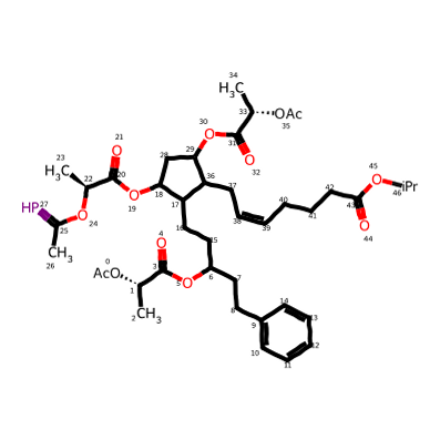 CC(=O)O[C@@H](C)C(=O)OC(CCc1ccccc1)CCC1C(OC(=O)[C@H](C)OC(C)=P)CC(OC(=O)[C@H](C)OC(C)=O)C1C/C=C\CCCC(=O)OC(C)C